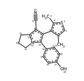 Cc1csc(C)c1-c1c(C#N)c2n(c1-c1ccc(O)cc1)CCC2